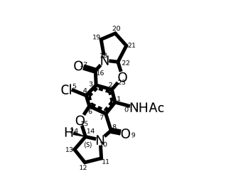 CC(=O)Nc1c2c(c(Cl)c3c1C(=O)N1CCC[C@@H]1O3)C(=O)N1CCCC1O2